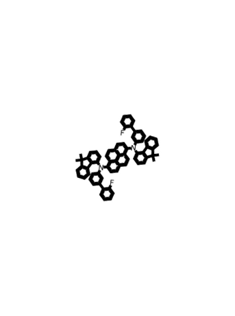 CC1(C)c2ccccc2-c2c(N(c3cccc(-c4ccccc4F)c3)c3ccc4ccc5c(N(c6cccc(-c7ccccc7F)c6)c6cccc7c6-c6ccccc6C7(C)C)ccc6ccc3c4c65)cccc21